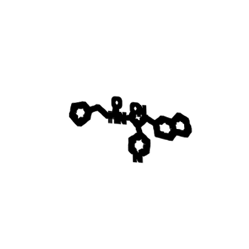 O=C(CCc1ccccc1)Nc1onc(-c2ccc3ccccc3c2)c1-c1ccncc1